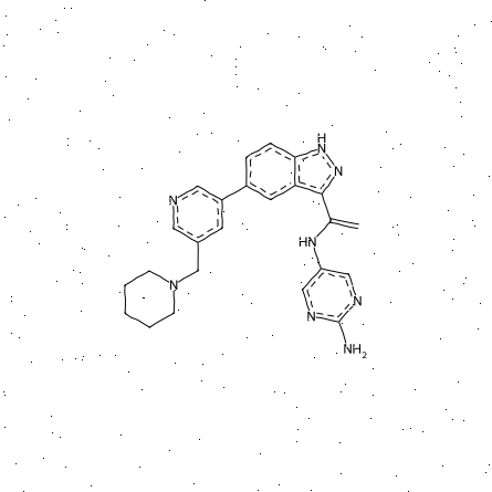 C=C(Nc1cnc(N)nc1)c1n[nH]c2ccc(-c3cncc(CN4CCCCC4)c3)cc12